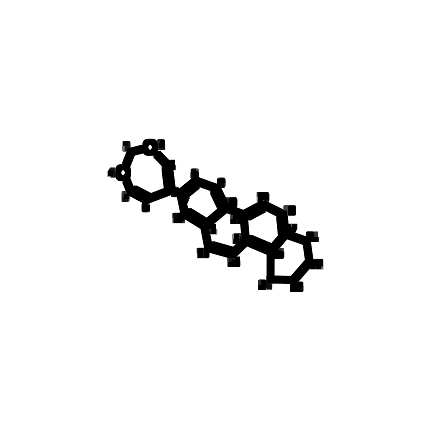 C1=COCOC=C1.c1ccc2c(c1)ccc1c3c(ccc12)CCCC3